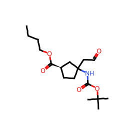 CCCCOC(=O)[C@@H]1CCC(CC=O)(NC(=O)OC(C)(C)C)C1